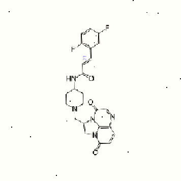 O=C(/C=C/c1cc(F)ccc1F)NC1CCN(CC2Cn3c(=O)ccc4ncc(=O)n2c43)CC1